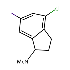 CNC1CCc2c(Cl)cc(I)cc21